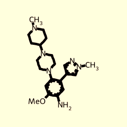 COc1cc(N2CCN(C3CCN(C)CC3)CC2)c(-c2cnn(C)c2)cc1N